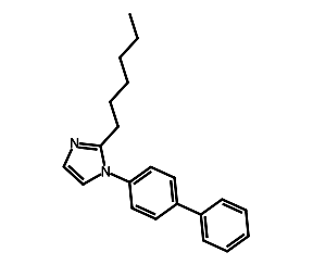 CCCCCCc1nccn1-c1ccc(-c2ccccc2)cc1